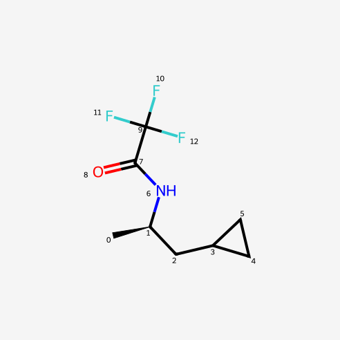 C[C@H](CC1CC1)NC(=O)C(F)(F)F